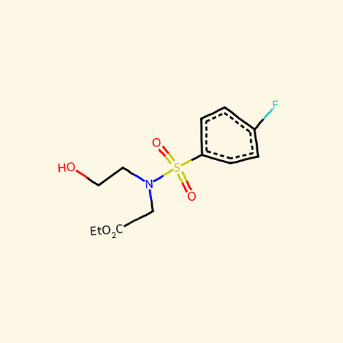 CCOC(=O)CN(CCO)S(=O)(=O)c1ccc(F)cc1